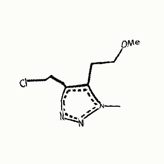 COCCc1c(CCl)nnn1C